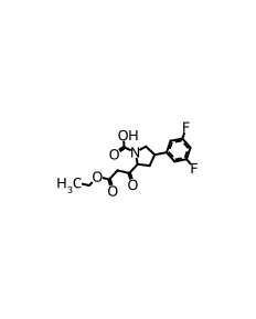 CCOC(=O)CC(=O)C1CC(c2cc(F)cc(F)c2)CN1C(=O)O